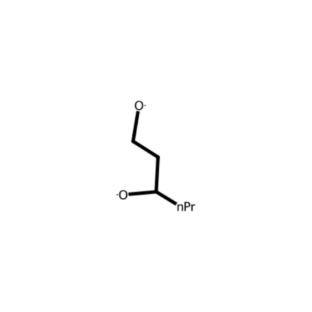 CCCC([O])CC[O]